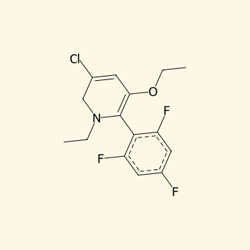 CCOC1=C(c2c(F)cc(F)cc2F)N(CC)CC(Cl)=C1